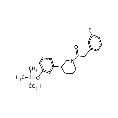 CC(C)(Oc1cccc(C2CCCN(C(=O)Cc3cccc(F)c3)C2)c1)C(=O)O